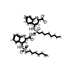 CCCCCCCCS(=O)(=O)Nc1cc(C(=O)[O-])nc2ccccc12.CCCCCCCCS(=O)(=O)Nc1cc(C(=O)[O-])nc2ccccc12.[Zn+2]